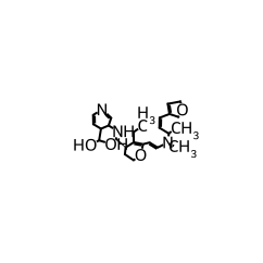 CCC1=C(/C=C/N(C)C(C)/C=C\C2=CCOC2)OCC[C@H]1CNC1C=NC=CC1C(O)O